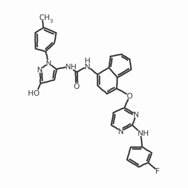 Cc1ccc(-n2nc(O)cc2NC(=O)Nc2ccc(Oc3ccnc(Nc4cccc(F)c4)n3)c3ccccc23)cc1